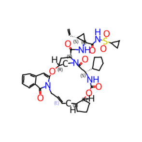 C=C[C@@H]1C[C@]1(NC(=O)[C@@H]1C[C@@H]2CN1C(=O)[C@H](C1CCCC1)NC(=O)O[C@@H]1CCC[C@H]1C/C=C/Cn1c(cc3ccccc3c1=O)O2)C(=O)NS(=O)(=O)C1CC1